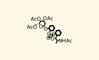 CC(=O)N[C@@H](C)[C@H](OS(=O)(=O)Oc1ccccc1OC1C[C@@H](OC(C)=O)[C@@H](OC(C)=O)[C@@H](COC(C)=O)O1)c1ccccc1